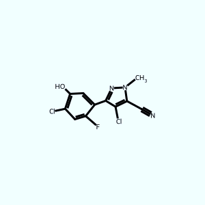 Cn1nc(-c2cc(O)c(Cl)cc2F)c(Cl)c1C#N